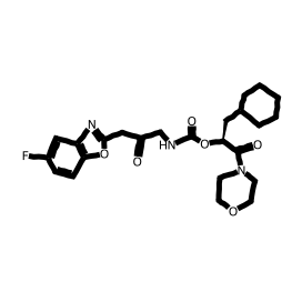 O=C(CNC(=O)O[C@@H](CC1CCCCC1)C(=O)N1CCOCC1)Cc1nc2cc(F)ccc2o1